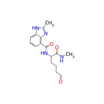 CNC(=O)C(CCCC=O)NC(=O)c1cccc2[nH]c(C)nc12